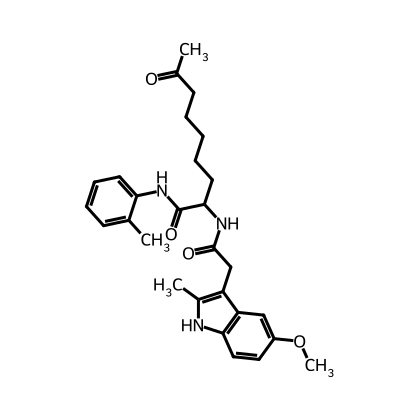 COc1ccc2[nH]c(C)c(CC(=O)NC(CCCCCC(C)=O)C(=O)Nc3ccccc3C)c2c1